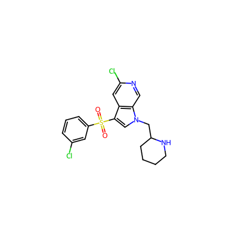 O=S(=O)(c1cccc(Cl)c1)c1cn(CC2CCCCN2)c2cnc(Cl)cc12